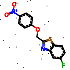 O=[N+]([O-])c1ccc(OCc2nc3cc(F)ccc3s2)cc1